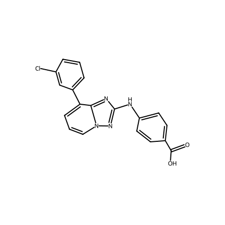 O=C(O)c1ccc(Nc2nc3c(-c4cccc(Cl)c4)cccn3n2)cc1